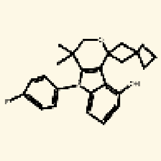 CC1(C)COC2(CC3(CCC3)C2)c2c1n(-c1ccc(F)cc1)c1cccc(O)c21